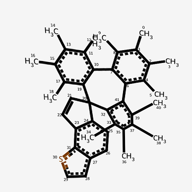 Cc1c(C)c(C)c2c(c1C)-c1c(C)c(C)c(C)c(C)c1C1(C=Cc3c1ccc1ccsc31)c1c(C)c(C)c(C)c(C)c1-2